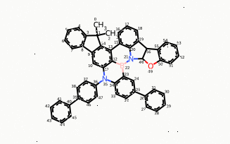 CC1(C)c2ccccc2-c2cc3c4c(c21)-c1cccc2c1N(B4c1cc(-c4ccccc4)ccc1N3c1ccc(-c3ccccc3)cc1)C1Oc3ccccc3C21